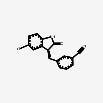 N#Cc1cccc(C=C2C(=O)Nc3ccc(Cl)cc32)c1